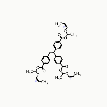 C/C=C\OC(C)OC(=O)c1ccc(CC(c2ccc(C(=O)OC(C)O/C=C\C)cc2)c2ccc(C(=O)OC(C)O/C=C\C)cc2)cc1